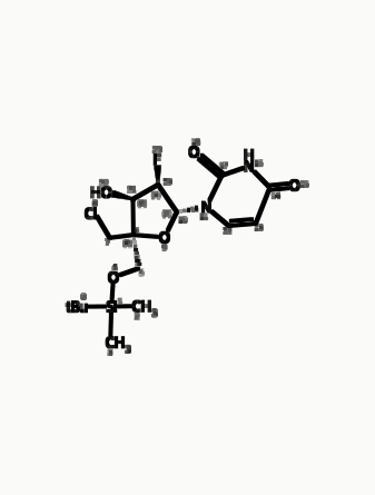 CC(C)(C)[Si](C)(C)OC[C@@]1(CCl)O[C@@H](n2ccc(=O)[nH]c2=O)[C@H](F)[C@@H]1O